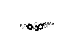 COC[C@]1(O)CC[C@]2(CCN(c3ccc(C(F)(F)F)cc3)C2=O)CC1